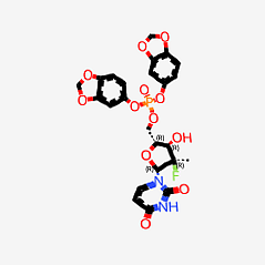 C[C@@]1(F)[C@H](O)[C@@H](COP(=O)(Oc2ccc3c(c2)OCO3)Oc2ccc3c(c2)OCO3)O[C@H]1n1ccc(=O)[nH]c1=O